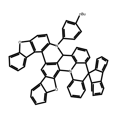 CCCCc1ccc(N2c3ccc4oc5ccccc5c4c3-c3cc4c(oc5ccccc54)c4c3C2c2cccc3c2N4c2ccccc2C32c3ccccc3-c3ccccc32)cc1